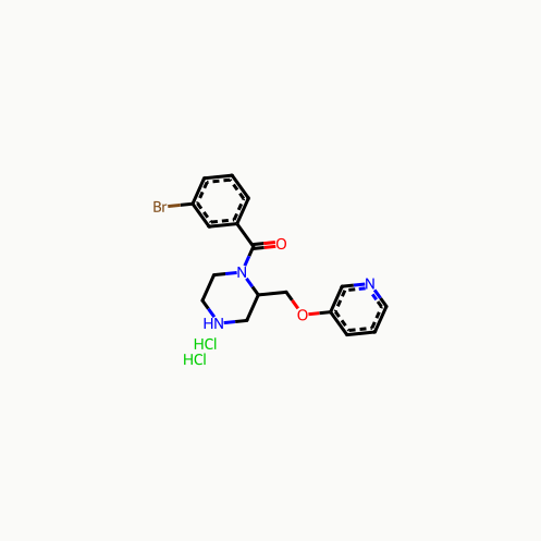 Cl.Cl.O=C(c1cccc(Br)c1)N1CCNCC1COc1cccnc1